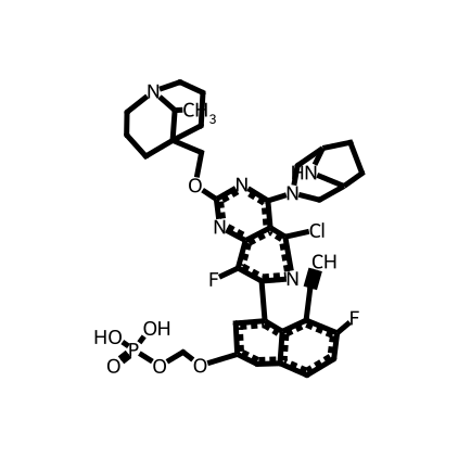 C#Cc1c(F)ccc2cc(OCOP(=O)(O)O)cc(-c3nc(Cl)c4c(N5CC6CCC(C5)N6)nc(OCC56CCCN(CCC5)C6C)nc4c3F)c12